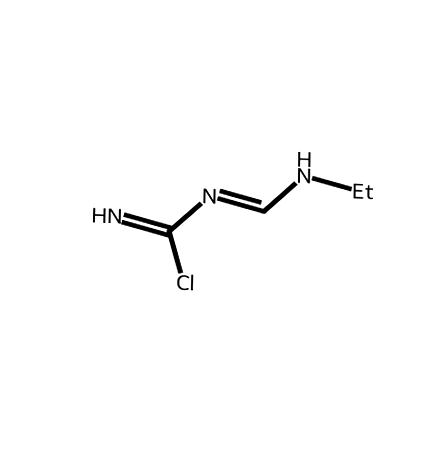 CCN/C=N/C(=N)Cl